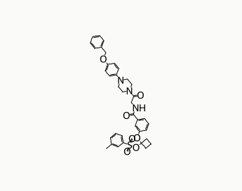 Cc1cccc(S(=O)(=O)OC2(Oc3cccc(C(=O)NCC(=O)N4CCN(c5ccc(OCc6ccccc6)cc5)CC4)c3)CCC2)c1